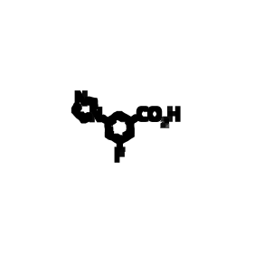 O=C(O)c1cc(F)cc(-n2ccnc2)c1